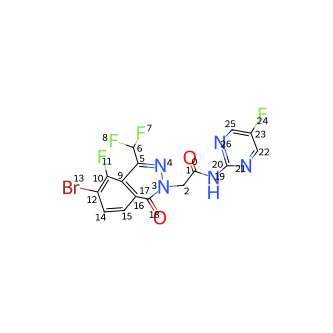 O=C(Cn1nc(C(F)F)c2c(F)c(Br)ccc2c1=O)Nc1ncc(F)cn1